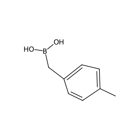 Cc1ccc(CB(O)O)cc1